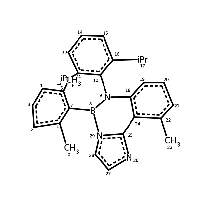 Cc1cccc(C)c1B1N(c2c(C(C)C)cccc2C(C)C)c2cccc(C)c2-c2nccn21